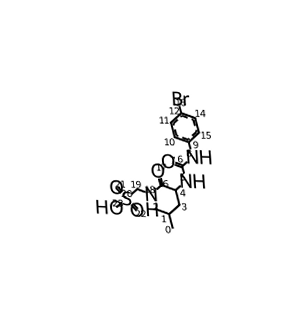 CC(C)CC(NC(=O)Nc1ccc(Br)cc1)C(=O)NCS(=O)(=O)O